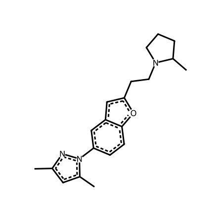 Cc1cc(C)n(-c2ccc3oc(CCN4CCCC4C)cc3c2)n1